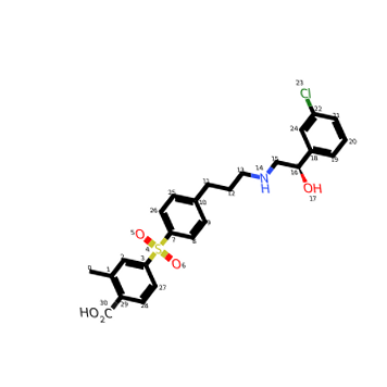 Cc1cc(S(=O)(=O)c2ccc(CCCNC[C@H](O)c3cccc(Cl)c3)cc2)ccc1C(=O)O